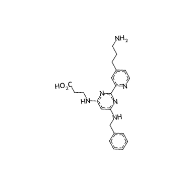 NCCCc1ccnc(-c2nc(NCCC(=O)O)cc(NCc3ccccc3)n2)c1